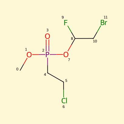 COP(=O)(CCCl)OC(F)CBr